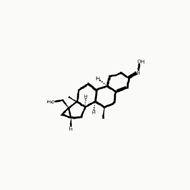 C[C@@H]1CC2=C/C(=N/O)CC[C@@H]2C2CC[C@]3(C)[C@H](C[C@@H]4C[C@@]43CO)[C@@H]21